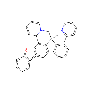 C[C@@]1(c2ccccc2-c2ccccn2)CN2C=CC=CC2c2c1ccc1c2oc2ccccc21